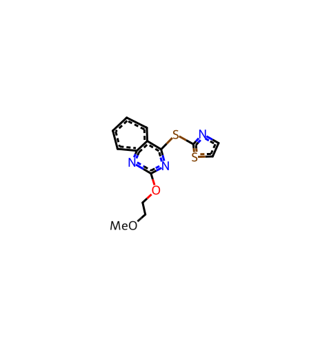 COCCOc1nc(Sc2nccs2)c2ccccc2n1